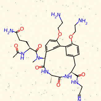 CC(=O)N[C@@H](CCC(N)=O)C(=O)N(C)[C@@H]1C(=O)N[C@@H](C)C(=O)N[C@H](C(=O)NCC#N)Cc2ccc(OCCN)c(c2)-c2cc1ccc2OCCN